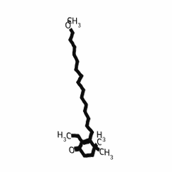 CCC1=C(CCCCCCCCCCCCCCCOC)C(C)(C)CCC1=O